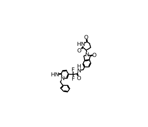 N=c1ccc(C(F)(F)C(=O)NCc2ccc3c(c2)CN(C2CCC(=O)NC2=O)C3=O)cn1Cc1ccccc1